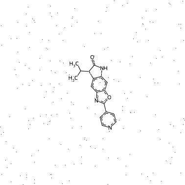 CC(C)C1C(=O)Nc2cc3oc(-c4ccncc4)nc3cc21